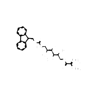 C=C(C)C(=O)OCC(O)C(O)C(O)C(O)CNC(=O)OCC1c2ccccc2-c2ccccc21